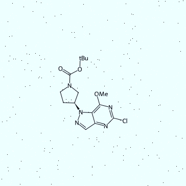 COc1nc(Cl)nc2cnn([C@H]3CCN(C(=O)OC(C)(C)C)C3)c12